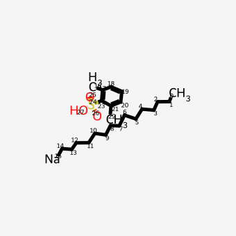 CCCCCCCCCCCCCC[CH2][Na].Cc1cccc(C)c1S(=O)(=O)O